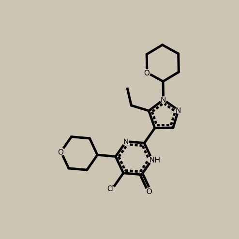 CCc1c(-c2nc(C3CCOCC3)c(Cl)c(=O)[nH]2)cnn1C1CCCCO1